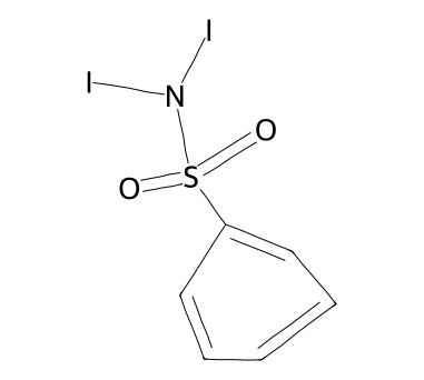 O=S(=O)(c1ccccc1)N(I)I